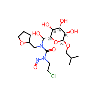 CC(C)CO[C@H]1O[C@H](C(O)N(CC2CCCO2)C(=O)N(CCCl)N=O)[C@@H](O)[C@H](O)[C@H]1O